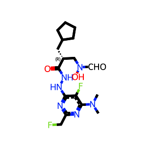 CN(C)c1nc(CF)nc(NNC(=O)[C@H](CC2CCCC2)CN(O)C=O)c1F